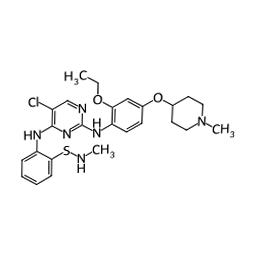 CCOc1cc(OC2CCN(C)CC2)ccc1Nc1ncc(Cl)c(Nc2ccccc2SNC)n1